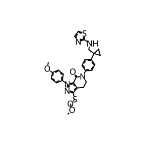 COOSc1nn(-c2ccc(OC)cc2)c2c1CCN(c1ccc(C3(CNc4nccs4)CC3)cc1)C2=O